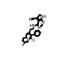 N#Cc1c[nH]c2ncnc(NCCc3cc4ccc(F)cn4c(=O)c3-c3ccccc3)c12